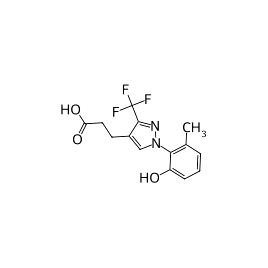 Cc1cccc(O)c1-n1cc(CCC(=O)O)c(C(F)(F)F)n1